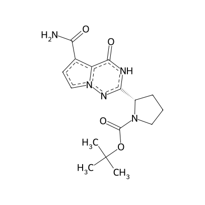 CC(C)(C)OC(=O)N1CCC[C@H]1c1nn2ccc(C(N)=O)c2c(=O)[nH]1